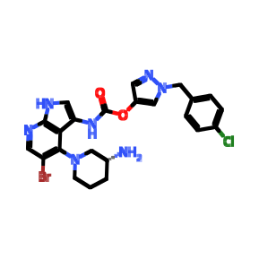 N[C@@H]1CCCN(c2c(Br)cnc3[nH]cc(NC(=O)Oc4cnn(Cc5ccc(Cl)cc5)c4)c23)C1